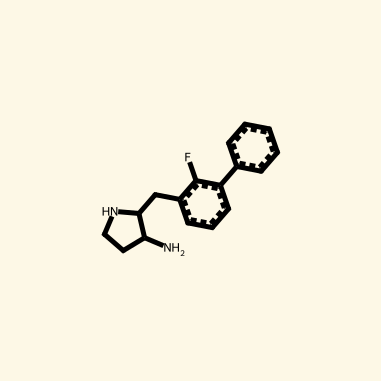 NC1CCNC1Cc1cccc(-c2ccccc2)c1F